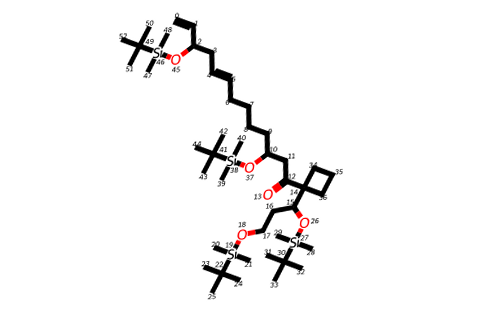 C=CC(CC=CCCCCC(CC(=O)C1(C(CCO[Si](C)(C)C(C)(C)C)O[Si](C)(C)C(C)(C)C)CCC1)O[Si](C)(C)C(C)(C)C)O[Si](C)(C)C(C)(C)C